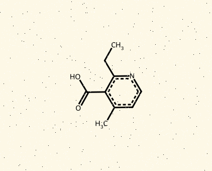 CCc1nccc(C)c1C(=O)O